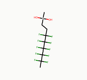 CC(F)(F)C(F)(F)C(F)(F)C(F)(F)C(F)(F)CC[Si](C)(O)O